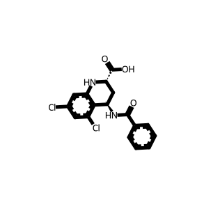 O=C(N[C@@H]1C[C@@H](C(=O)O)Nc2cc(Cl)cc(Cl)c21)c1ccccc1